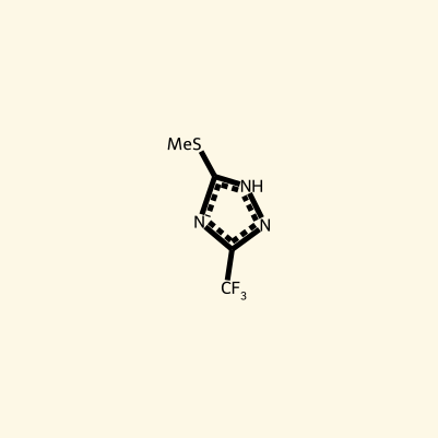 CSc1nc(C(F)(F)F)n[nH]1